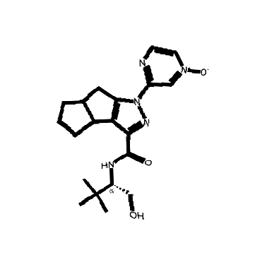 CC(C)(C)[C@@H](CO)NC(=O)c1nn(-c2c[n+]([O-])ccn2)c2c1C1CCCC1C2